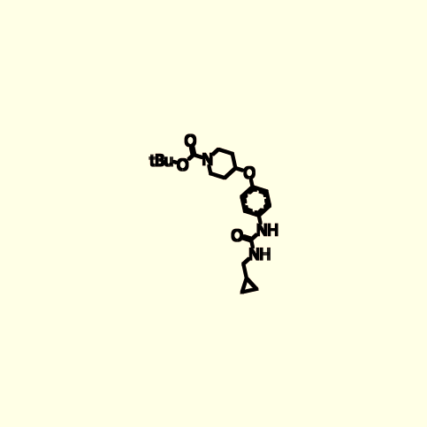 CC(C)(C)OC(=O)N1CCC(Oc2ccc(NC(=O)NCC3CC3)cc2)CC1